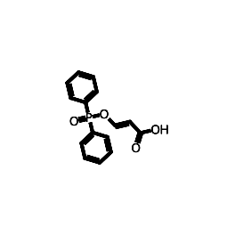 O=C(O)C=COP(=O)(c1ccccc1)c1ccccc1